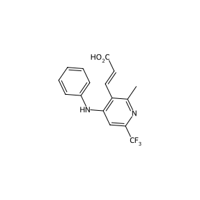 Cc1nc(C(F)(F)F)cc(Nc2ccccc2)c1C=CC(=O)O